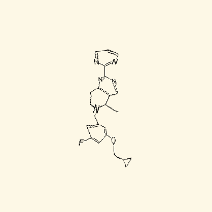 CC1c2cnc(-c3ncccn3)nc2CCN1c1cc(F)cc(OCC2CC2)c1